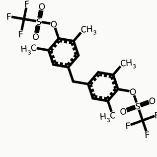 Cc1cc(Cc2cc(C)c(OS(=O)(=O)C(F)(F)F)c(C)c2)cc(C)c1OS(=O)(=O)C(F)(F)F